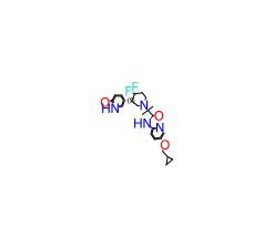 CC(C)(C(=O)Nc1ccc(OCC2CC2)cn1)N1CCC(F)(F)[C@@H](c2ccc(=O)[nH]c2)C1